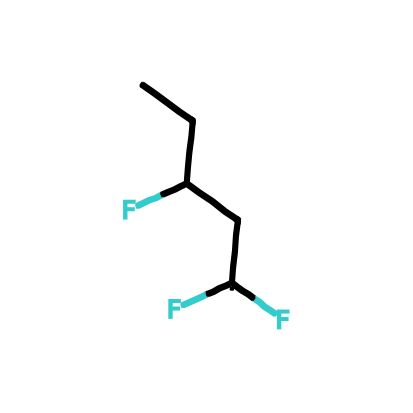 CCC(F)C[C](F)F